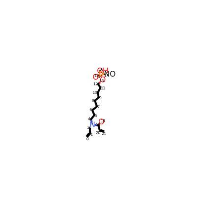 C=CCN(CCCCCCCCCOP(=O)(O)N=O)C(=O)C=C